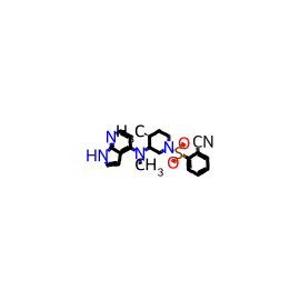 C[C@@H]1CCN(S(=O)(=O)c2ccccc2C#N)CC1N(C)c1ccnc2[nH]ccc12